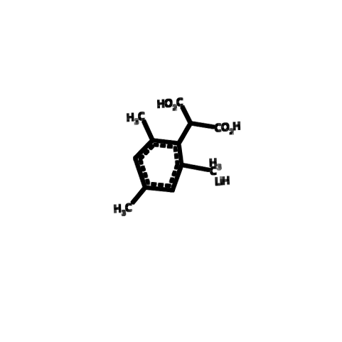 Cc1cc(C)c(C(C(=O)O)C(=O)O)c(C)c1.[LiH]